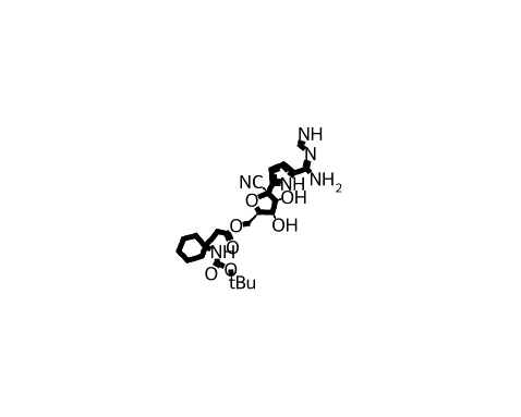 CC(C)(C)OC(=O)NC1(CC(=O)OC[C@H]2O[C@@](C#N)(c3ccc(/C(N)=N\C=N)[nH]3)[C@H](O)[C@@H]2O)CCCCC1